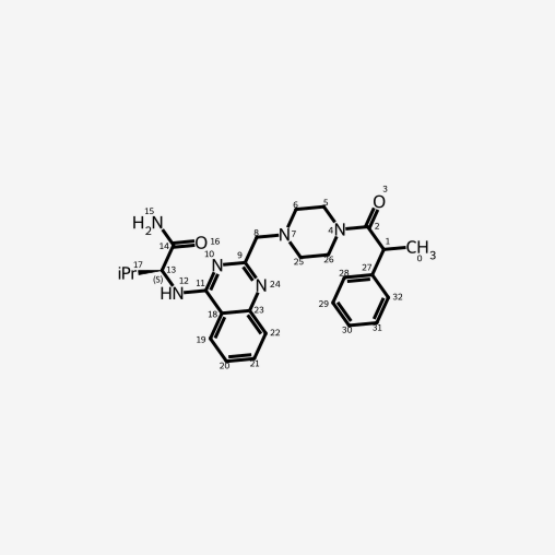 CC(C(=O)N1CCN(Cc2nc(N[C@H](C(N)=O)C(C)C)c3ccccc3n2)CC1)c1ccccc1